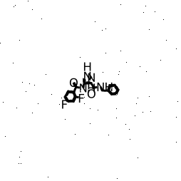 O=C(Nc1c[nH]nc1C(=O)NCc1ccccc1)c1ccc(F)cc1F